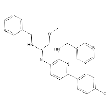 COC/C(=N\c1ccc(-c2ccc(Cl)cc2)nc1NCc1cccnc1)NCc1cccnc1